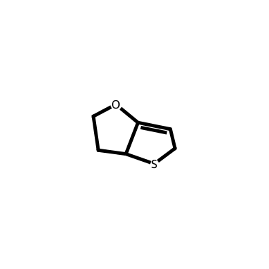 C1=C2OCCC2SC1